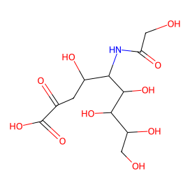 O=C(CO)NC(C(O)CC(=O)C(=O)O)C(O)C(O)C(O)CO